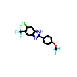 FC(F)(F)Oc1ccc(-c2nc3cc(C(F)(F)F)c(Cl)cc3[nH]2)cc1